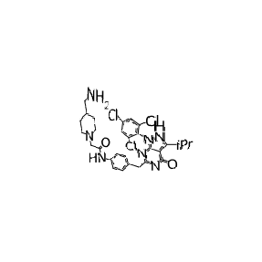 CC(C)c1[nH]n(-c2c(Cl)cc(Cl)cc2Cl)c2nc(Cc3ccc(NC(=O)CN4CCC(CN)CC4)cc3)nc(=O)c1-2